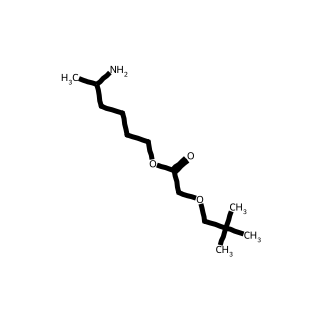 CC(N)CCCCOC(=O)COCC(C)(C)C